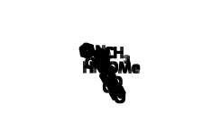 COc1cc(S(=O)(=O)N2CCOCC2)ccc1-c1nc2c(c(-c3ccccc3)nn2C)c(=O)[nH]1